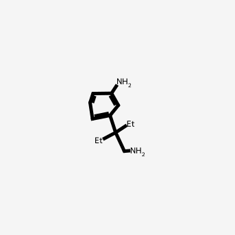 CCC(CC)(CN)c1cccc(N)c1